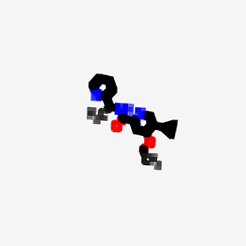 O=C(NC(c1ccccn1)C(F)(F)F)c1cc(OCC(F)(F)F)c(C2CC2)cn1